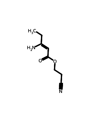 CCC(N)=CC(=O)OCCC#N